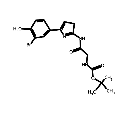 Cc1ccc(C2=CCC(NC(=O)CNC(=O)OC(C)(C)C)=N2)cc1Br